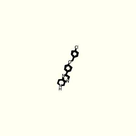 Clc1ccc(COc2ccc(-c3cnc4c(n3)CCNC4)cc2)cc1